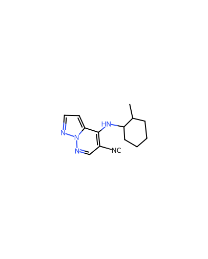 [C-]#[N+]c1cnn2nccc2c1NC1CCCCC1C